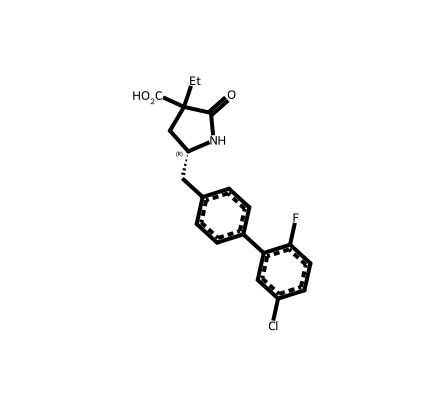 CCC1(C(=O)O)C[C@@H](Cc2ccc(-c3cc(Cl)ccc3F)cc2)NC1=O